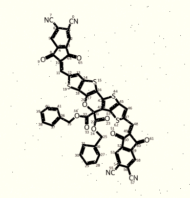 N#Cc1cc2c(cc1C#N)C(=O)C(=Cc1cc3sc4c(c3s1)OC(C(=O)OCc1ccccc1)(C(=O)OCc1ccccc1)c1c-4sc3cc(C=C4C(=O)c5cc(C#N)c(C#N)cc5C4=O)sc13)C2=O